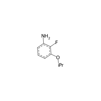 CC(C)Oc1cccc(N)c1F